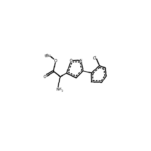 CC(C)(C)OC(=O)C(N)c1cc(-c2ccccc2Cl)no1